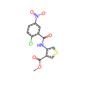 COC(=O)c1cscc1NC(=O)c1cc([N+](=O)[O-])ccc1Cl